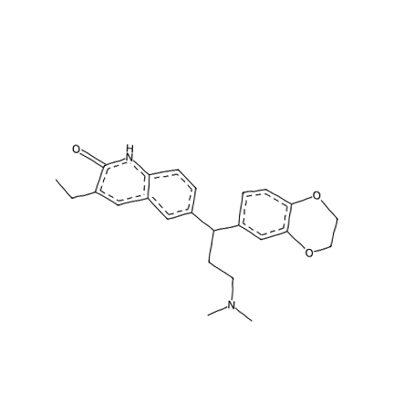 CCc1cc2cc(C(CCN(C)C)c3ccc4c(c3)OCCO4)ccc2[nH]c1=O